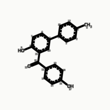 Cc1ccc(-c2ccc(O)c(C(=O)c3ccc(O)cc3)c2)cc1